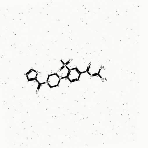 CS(=O)(=O)c1cc(C(=O)N=C(N)N)ccc1N1CCN(C(=O)c2ccco2)CC1